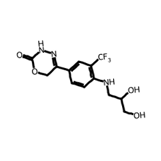 O=C1NN=C(c2ccc(NCC(O)CO)c(C(F)(F)F)c2)CO1